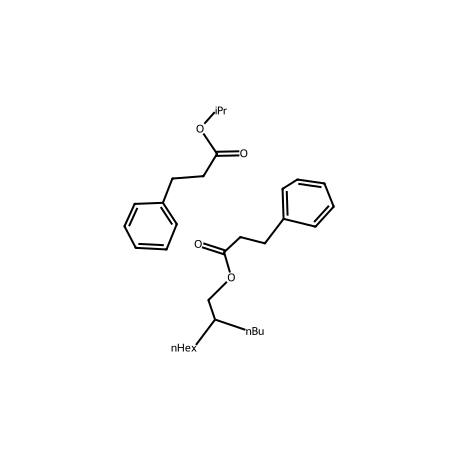 CC(C)OC(=O)CCc1ccccc1.CCCCCCC(CCCC)COC(=O)CCc1ccccc1